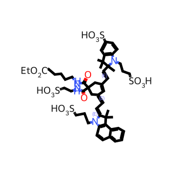 CCOC(=O)CCCCCNC(=O)C1(C(=O)NCCS(=O)(=O)O)CC(/C=C/C2(C)N(CCCS(=O)(=O)O)c3ccc(S(=O)(=O)O)cc3C2(C)C)=CC(=C/C=C2/N(CCCS(=O)(=O)O)c3ccc4ccccc4c3C2(C)C)/C1